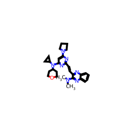 CN(C)c1nc2ccccc2nc1C=Cc1nc(N2CCCC2)cc(N(C2CCOCC2)C2CC2)n1